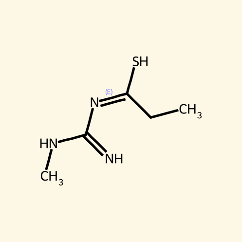 CC/C(S)=N\C(=N)NC